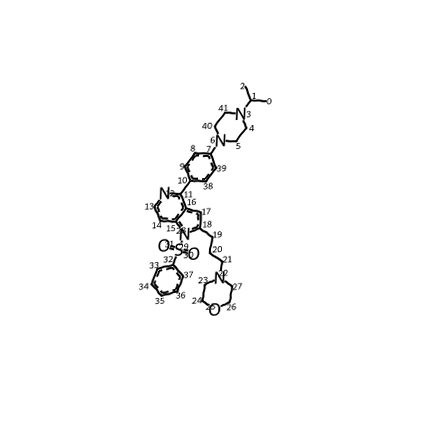 CC(C)N1CCN(c2ccc(-c3nccc4c3cc(CCCN3CCOCC3)n4S(=O)(=O)c3ccccc3)cc2)CC1